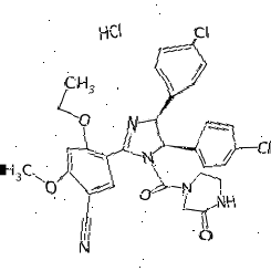 CCOc1cc(OC)c(C#N)cc1C1=N[C@@H](c2ccc(Cl)cc2)[C@@H](c2ccc(Cl)cc2)N1C(=O)N1CCNC(=O)C1.Cl